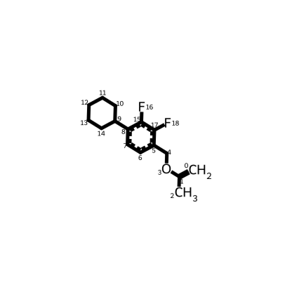 C=C(C)OCc1ccc(C2CCCCC2)c(F)c1F